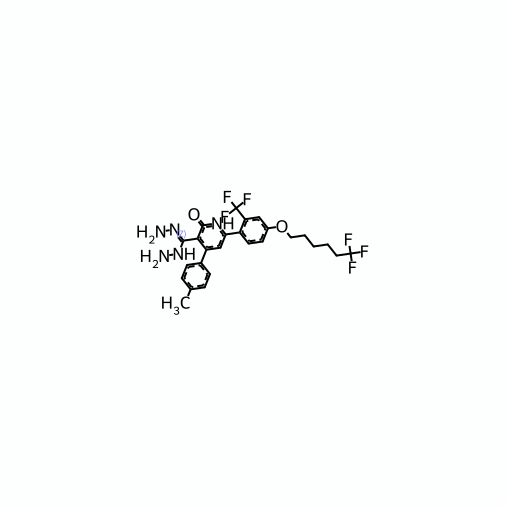 Cc1ccc(-c2cc(-c3ccc(OCCCCCC(F)(F)F)cc3C(F)(F)F)[nH]c(=O)c2/C(=N/N)NN)cc1